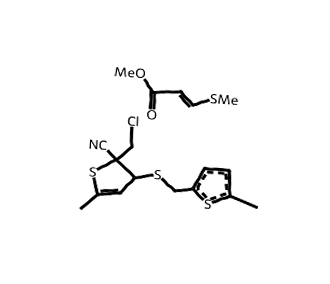 CC1=CC(SCc2ccc(C)s2)C(C#N)(CCl)S1.COC(=O)/C=C/SC